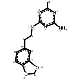 Cc1nc(N)nc(NCCc2ccc3c(c2)OCO3)n1